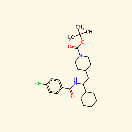 CC(C)(C)OC(=O)N1CCC(CC(NC(=O)c2ccc(Cl)cc2)C2CCCCC2)CC1